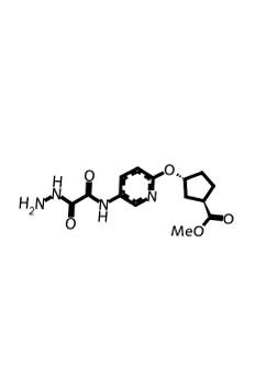 COC(=O)[C@@H]1CC[C@@H](Oc2ccc(NC(=O)C(=O)NN)cn2)C1